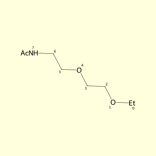 [CH2]COCCOCCNC(C)=O